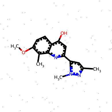 COc1ccc2c(O)cc(-c3cc(C)nn3C)nc2c1C